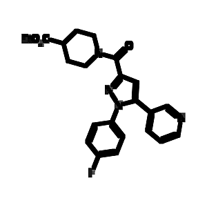 CCOC(=O)C1CCN(C(=O)c2cc(-c3cccnc3)n(-c3ccc(F)cc3)n2)CC1